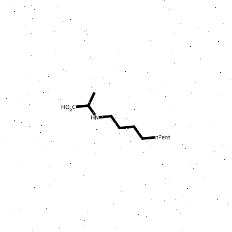 CCCCCCCCCNC(C)C(=O)O